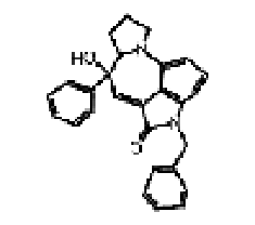 O=C1C2=C[C@](O)(c3ccccc3)C3CCCN3c3cccc(c32)N1Cc1ccccc1